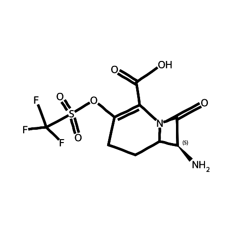 N[C@@H]1C(=O)N2C(C(=O)O)=C(OS(=O)(=O)C(F)(F)F)CCC12